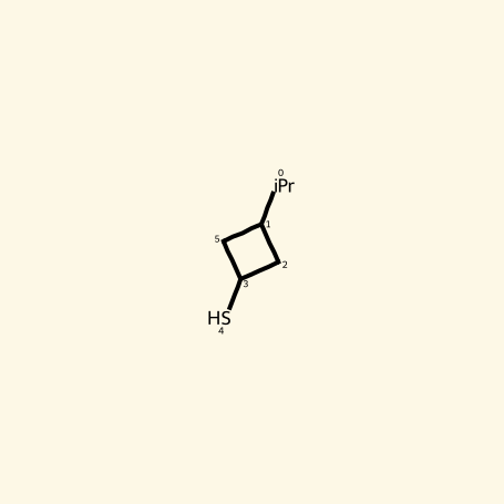 CC(C)C1CC(S)C1